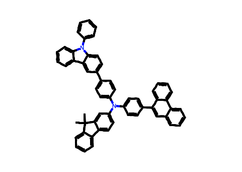 CC1(C)c2ccccc2-c2ccc(N(c3ccc(-c4ccc5c(c4)c4ccccc4n5-c4ccccc4)cc3)c3ccc(-c4cc5ccccc5c5ccccc45)cc3)cc21